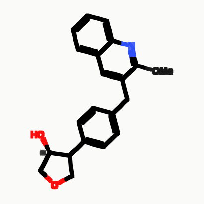 COc1nc2ccccc2cc1Cc1ccc(C2COC[C@H]2O)cc1